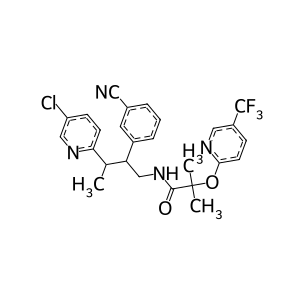 CC(c1ccc(Cl)cn1)C(CNC(=O)C(C)(C)Oc1ccc(C(F)(F)F)cn1)c1cccc(C#N)c1